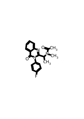 CC(=O)N(C)C(C)c1nc2ccccc2c(=O)n1-c1ccc(F)cc1